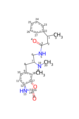 CC(CC(=O)NCC(Cc1ccc2[nH]c(=O)oc2c1)N(C)C)c1ccccc1